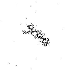 CNC1(c2cccs2)CCC2(CCN(C(=O)CC(C)C)C2)CC1